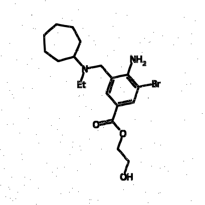 CCN(Cc1cc(C(=O)OCCO)cc(Br)c1N)C1CCCCCC1